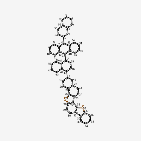 c1ccc2cc(-c3c4ccccc4c(-c4ccc(-c5ccc6c(ccc7c6sc6ccc8c9ccccc9sc8c67)c5)c5ccccc45)c4ccccc34)ccc2c1